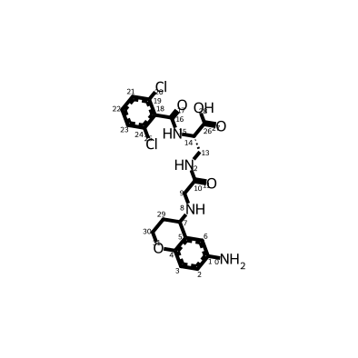 Nc1ccc2c(c1)C(NCC(=O)NC[C@H](NC(=O)c1c(Cl)cccc1Cl)C(=O)O)CCO2